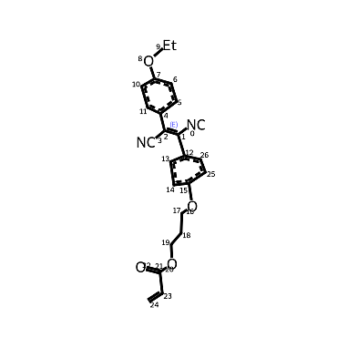 [C-]#[N+]/C(=C(/C#N)c1ccc(OCC)cc1)c1ccc(OCCCOC(=O)C=C)cc1